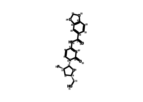 O=C(Nc1ccn([C@@H]2O[C@H](CO)C[C@@H]2F)c(=O)n1)c1ccc2c(c1)OCO2